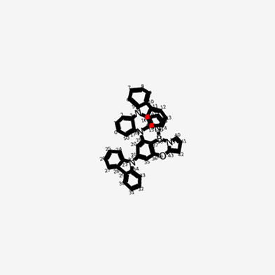 c1ccc(-n2c3ccccc3c3ccccc32)c(N2c3cc(-n4c5ccccc5c5ccccc54)cc4c3B(n3cccc3O4)n3cccc32)c1